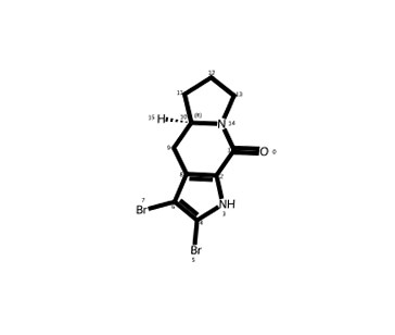 O=C1c2[nH]c(Br)c(Br)c2C[C@H]2CCCN12